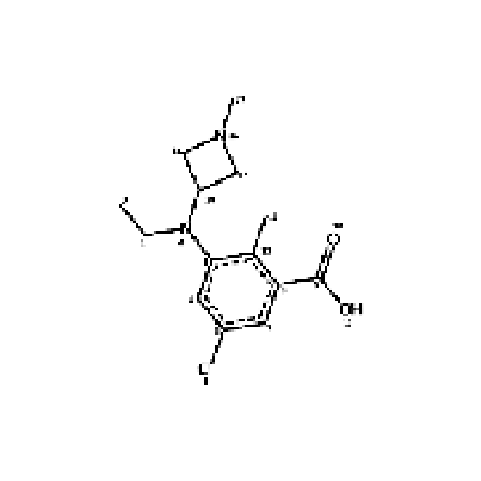 CCN(c1cc(Cl)cc(C(=O)O)c1C)C1CN(C)C1